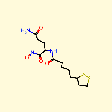 NC(=O)CCC(NC(=O)CCCCC1CCSS1)C(=O)N=O